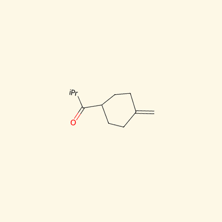 C=C1CCC(C(=O)C(C)C)CC1